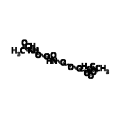 CC(C)OP(=O)(O)OCCOCCOCCOCCNC(=O)COCCOCCNCC(C)(C)C=O